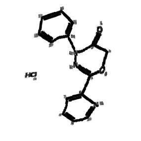 Cl.O=C1COC(c2ccccn2)=NN1c1ccccc1